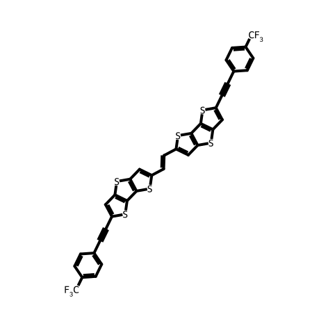 FC(F)(F)c1ccc(C#Cc2cc3sc4cc(/C=C/c5cc6sc7cc(C#Cc8ccc(C(F)(F)F)cc8)sc7c6s5)sc4c3s2)cc1